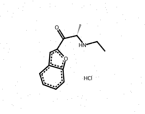 CCN[C@@H](C)C(=O)c1cc2ccccc2o1.Cl